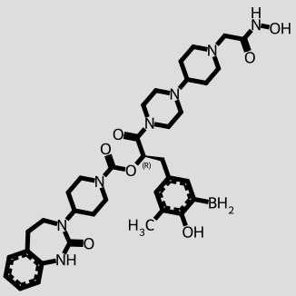 Bc1cc(C[C@@H](OC(=O)N2CCC(N3CCc4ccccc4NC3=O)CC2)C(=O)N2CCN(C3CCN(CC(=O)NO)CC3)CC2)cc(C)c1O